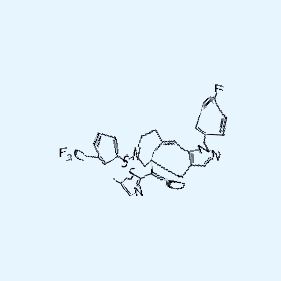 Cc1cnc(C(=O)[C@]23Cc4cnn(-c5ccc(F)cc5)c4C=C2CCN(Sc2cccc(C(F)(F)F)c2)C3)s1